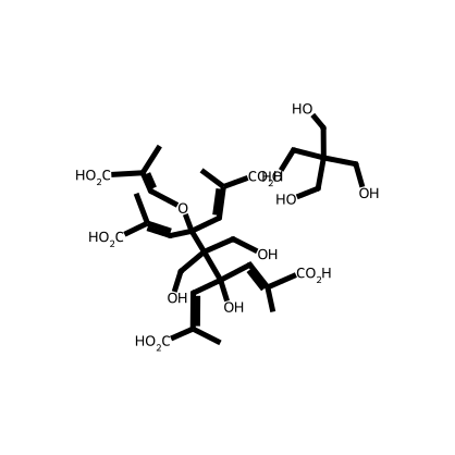 CC(=COC(C=C(C)C(=O)O)(C=C(C)C(=O)O)C(CO)(CO)C(O)(C=C(C)C(=O)O)C=C(C)C(=O)O)C(=O)O.OCC(CO)(CO)CO